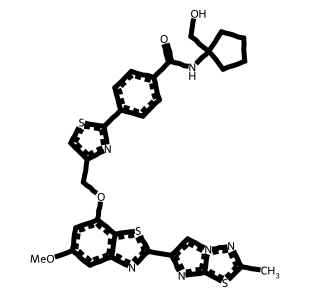 COc1cc(OCc2csc(-c3ccc(C(=O)NC4(CO)CCCC4)cc3)n2)c2sc(-c3cn4nc(C)sc4n3)nc2c1